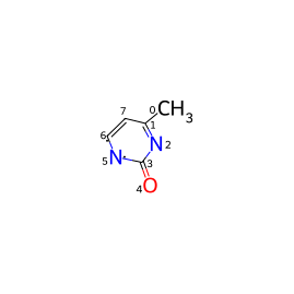 CC1=NC(=O)[N][C]=C1